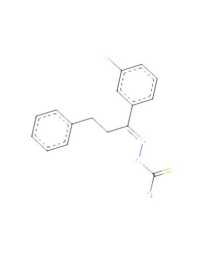 NC(=S)N/N=C(\CCc1ccccc1)c1cccc(Br)c1